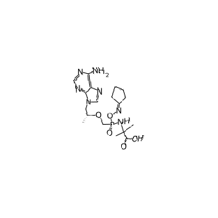 C[C@H](Cn1cnc2c(N)ncnc21)OCP(=O)(NC(C)(C)C(=O)O)ON=C1CCCC1